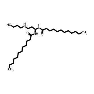 CCCCCCCCCCCC(=O)NC(CCNCCCO)NC(=O)CCCCCCCCCCC